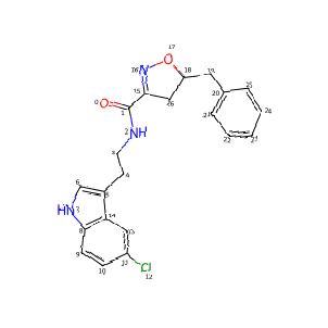 O=C(NCCc1c[nH]c2ccc(Cl)cc12)C1=NOC(Cc2ccccc2)C1